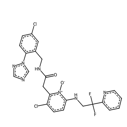 O=C(Cc1c(Cl)ccc(NCC(F)(F)c2ccccn2)[n+]1[O-])NCc1cc(Cl)ccc1-n1cncn1